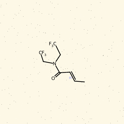 C/C=C/C(=O)N(CC(F)(F)F)CC(F)(F)F